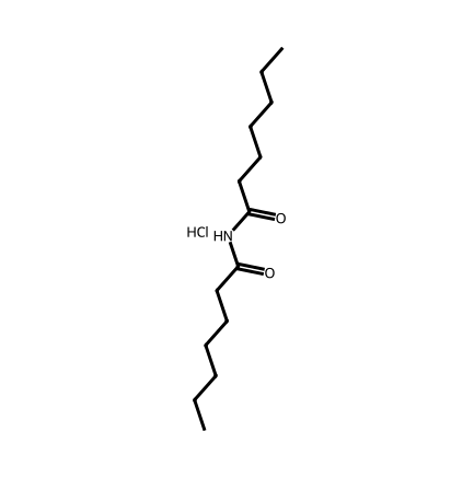 CCCCCCC(=O)NC(=O)CCCCCC.Cl